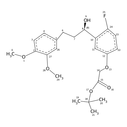 COc1ccc(CC[C@@H](O)c2cc(OCC(=O)OC(C)(C)C)ccc2F)cc1OC